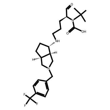 CC(C)(C)N(C(=O)O)[C@H](C=O)CCCN[C@H]1CC[C@@H]2CN(Cc3ccc(C(F)(F)F)cc3)C[C@@H]21